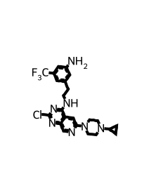 Nc1cc(CCNc2nc(Cl)nc3cnc(N4CCN(C5CC5)CC4)cc23)cc(C(F)(F)F)c1